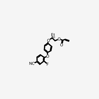 C=CC(=O)OC[C@@H](CC)Oc1ccc(Oc2ccc(C#N)cc2F)cc1